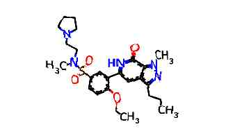 CCCc1nn(C)c2c(=O)[nH]c(-c3cc(S(=O)(=O)N(C)CCN4CCCC4)ccc3OCC)cc12